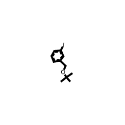 CC(C)(C)OCc1cccc(I)c1